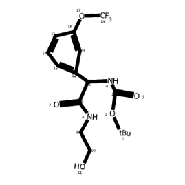 CC(C)(C)OC(=O)NC(C(=O)NCCO)c1cccc(OC(F)(F)F)c1